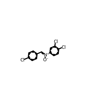 [O-][N+](=Cc1ccc(Cl)cc1)c1ccc(Cl)c(Cl)c1